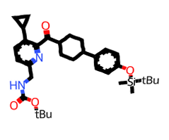 CC(C)(C)OC(=O)NCc1ccc(C2CC2)c(C(=O)C2CCC(c3ccc(O[Si](C)(C)C(C)(C)C)cc3)CC2)n1